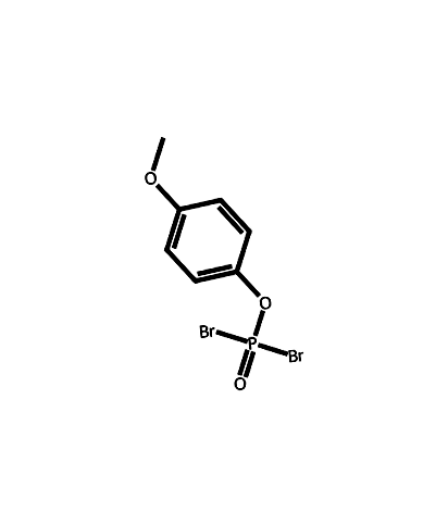 COc1ccc(OP(=O)(Br)Br)cc1